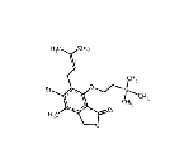 CCc1c(C)c2c(c(OCC[Si](C)(C)C)c1C/C=C(\C)C=O)C(=O)OC2